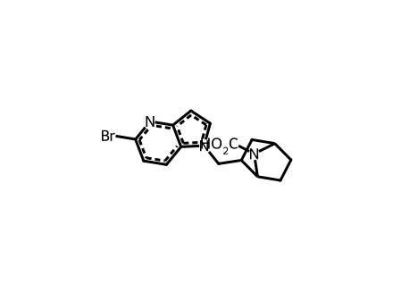 O=C(O)N1C2CCC1C(Cn1ccc3nc(Br)ccc31)C2